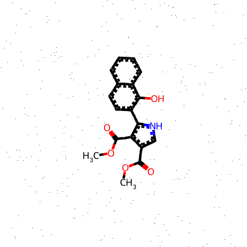 COC(=O)c1c[nH]c(-c2ccc3ccccc3c2O)c1C(=O)OC